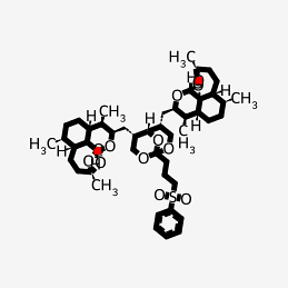 C[C@H]1[C@@H](C[C@H]2COC3(CCCS(=O)(=O)c4ccccc4)OC[C@@H](C[C@H]4O[C@@H]5O[C@]6(C)CC[C@H]7[C@H](C)CC[C@@H]([C@H]4C)[C@@]57OO6)[C@H]2O3)O[C@@H]2O[C@]3(C)CC[C@H]4[C@H](C)CC[C@@H]1[C@@]24OO3